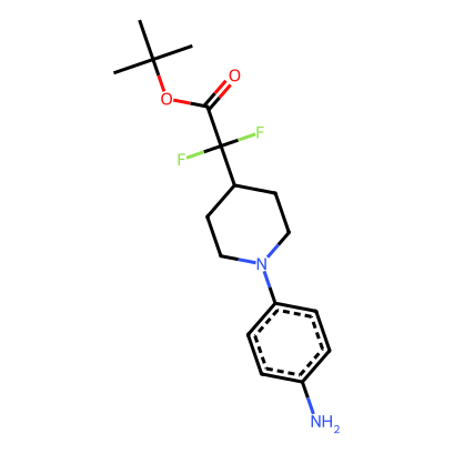 CC(C)(C)OC(=O)C(F)(F)C1CCN(c2ccc(N)cc2)CC1